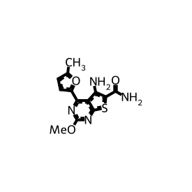 COc1nc(-c2ccc(C)o2)c2c(N)c(C(N)=O)sc2n1